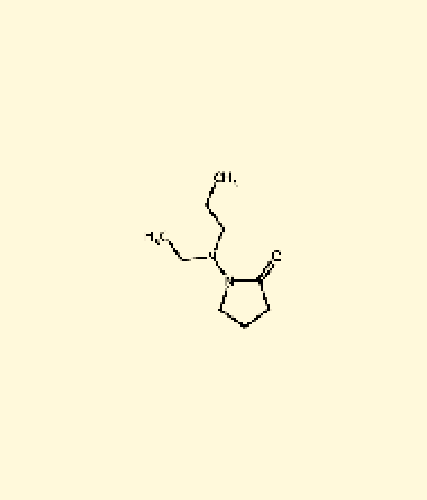 CCCN(CC)N1CCCC1=O